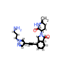 C=C1CCC(N2Cc3c(C#Cc4cnn(CCCN)c4)cccc3C2=O)C(=O)N1